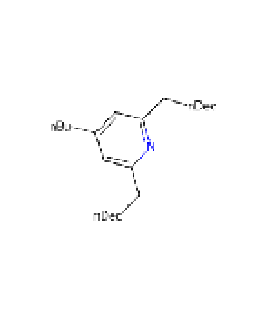 [CH2]CCCc1cc(CCCCCCCCCCC)nc(CCCCCCCCCCC)c1